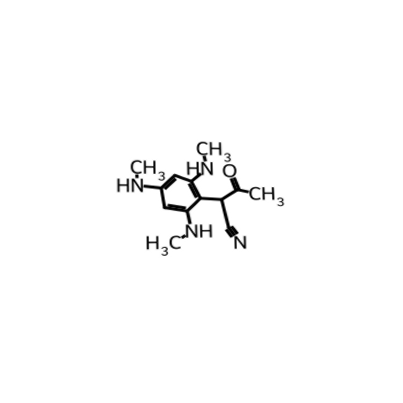 CNc1cc(NC)c(C(C#N)C(C)=O)c(NC)c1